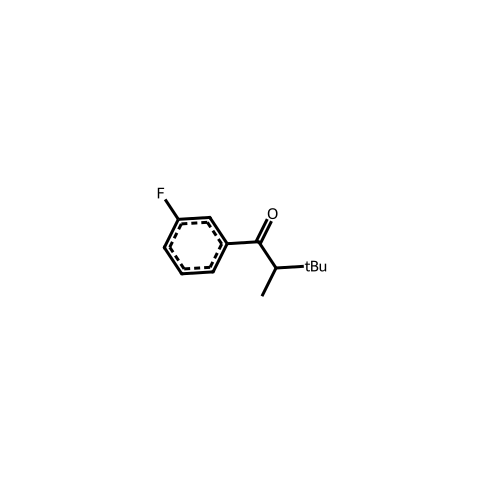 CC(C(=O)c1cccc(F)c1)C(C)(C)C